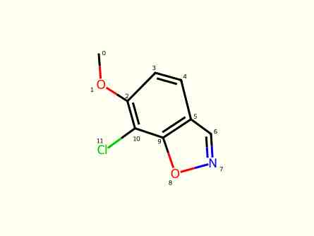 COc1ccc2cnoc2c1Cl